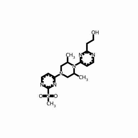 CC1CN(c2ccnc(S(C)(=O)=O)n2)CC(C)N1c1ccnc(CCO)n1